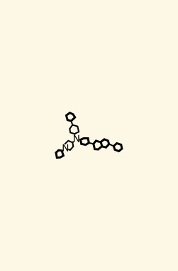 c1ccc(-c2ccc3cc(-c4ccc(N(C5CCC(c6ccccc6)CC5)C5CCN(c6ccccc6)CC5)cc4)ccc3c2)cc1